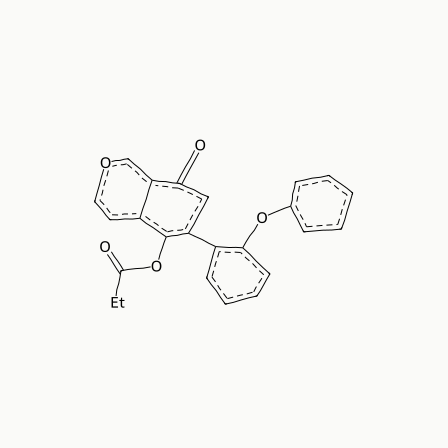 CCC(=O)Oc1c(-c2ccccc2Oc2ccccc2)cc(=O)c2coccc1-2